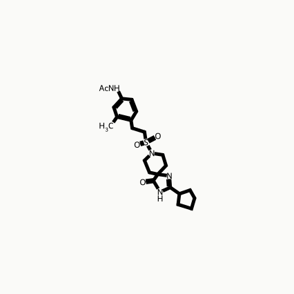 CC(=O)Nc1ccc(CCS(=O)(=O)N2CCC3(CC2)N=C(C2CCCC2)NC3=O)c(C)c1